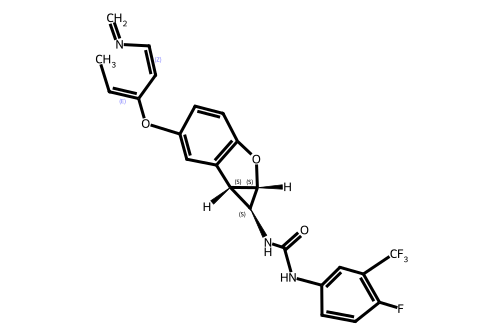 C=N/C=C\C(=C/C)Oc1ccc2c(c1)[C@H]1[C@H](NC(=O)Nc3ccc(F)c(C(F)(F)F)c3)[C@H]1O2